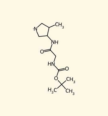 CC1C[N]CC1NC(=O)CNC(=O)OC(C)(C)C